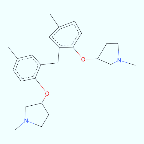 Cc1ccc(OC2CCN(C)C2)c(Cc2cc(C)ccc2OC2CCN(C)C2)c1